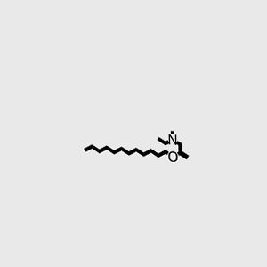 C=C(CN(C)CC)OCCCCCCCCCCCC